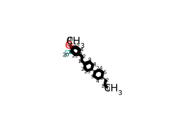 CCC[C@H]1CC[C@H](C2CC=C(CCc3ccc(OC)c(F)c3)CC2)CC1